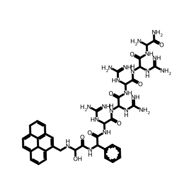 N=C(N)NC(NC(=O)C(NC(=N)N)NC(=O)C(NC(=N)N)NC(=O)C(NC(=N)N)NC(=O)C(NC(=O)C(O)NCC1=CC2=C3C(=CC=C4C=CC=C1C43)CC=C2)c1ccccc1)C(=O)NC(N)C(N)=O